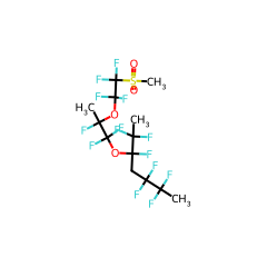 CC(F)(F)C(F)(F)CC(F)(OC(F)(F)C(C)(F)OC(F)(F)C(F)(F)S(C)(=O)=O)C(C)(F)F